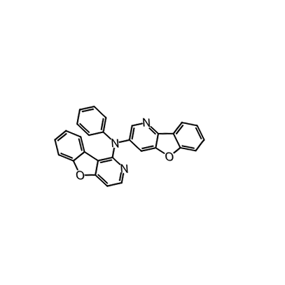 c1ccc(N(c2cnc3c(c2)oc2ccccc23)c2nccc3oc4ccccc4c23)cc1